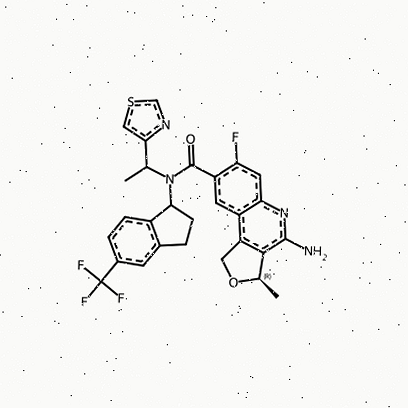 CC(c1cscn1)N(C(=O)c1cc2c3c(c(N)nc2cc1F)[C@@H](C)OC3)C1CCc2cc(C(F)(F)F)ccc21